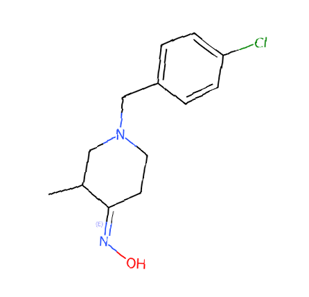 CC1CN(Cc2ccc(Cl)cc2)CC/C1=N\O